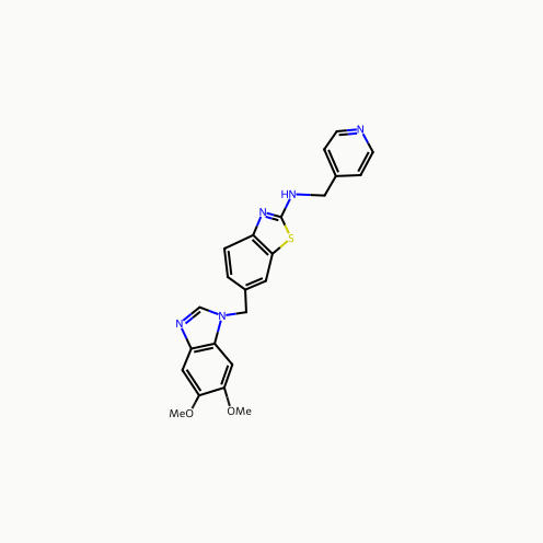 COc1cc2ncn(Cc3ccc4nc(NCc5ccncc5)sc4c3)c2cc1OC